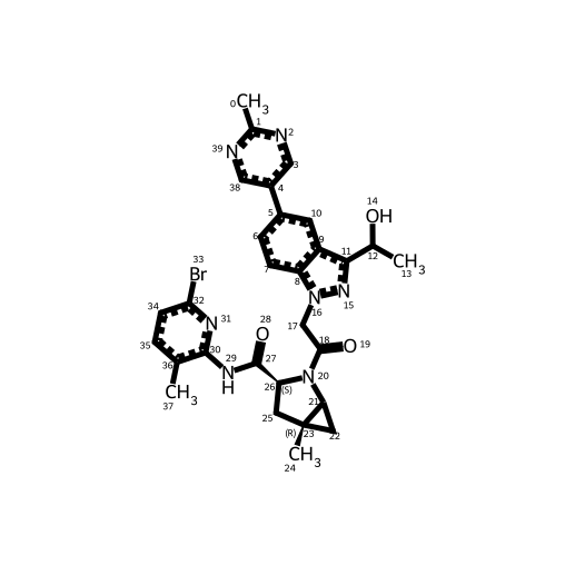 Cc1ncc(-c2ccc3c(c2)c(C(C)O)nn3CC(=O)N2C3C[C@]3(C)C[C@H]2C(=O)Nc2nc(Br)ccc2C)cn1